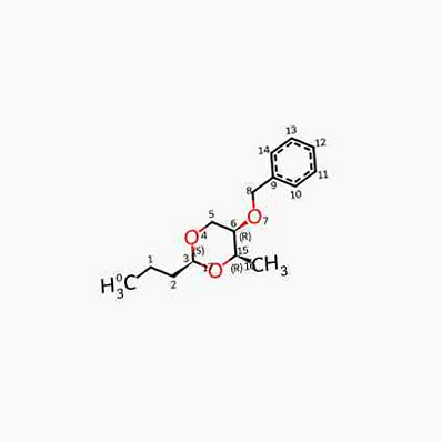 CCC[C@H]1OC[C@@H](OCc2ccccc2)[C@@H](C)O1